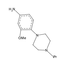 COc1cc(N)ccc1N1CCN(C(C)C)CC1